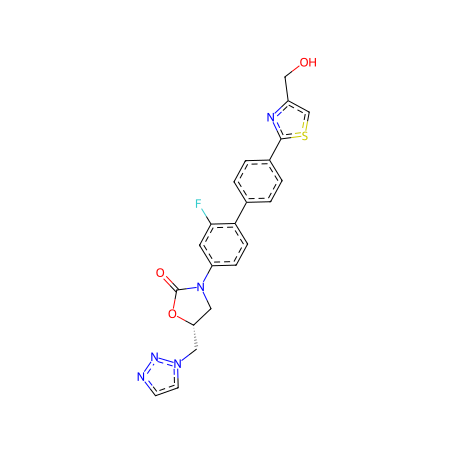 O=C1O[C@@H](Cn2ccnn2)CN1c1ccc(-c2ccc(-c3nc(CO)cs3)cc2)c(F)c1